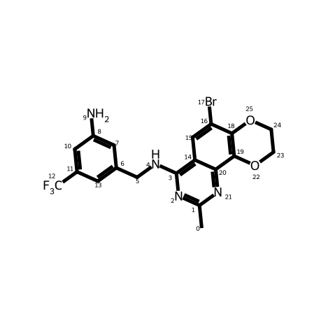 Cc1nc(NCc2cc(N)cc(C(F)(F)F)c2)c2cc(Br)c3c(c2n1)OCCO3